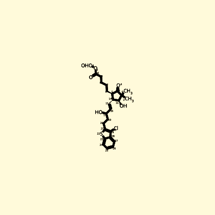 CC1(C)C(=O)[C@H](CCCCC(=O)OC=O)[C@@H](/C=C/C(O)CCc2sc3ccccc3c2Cl)[C@@H]1O